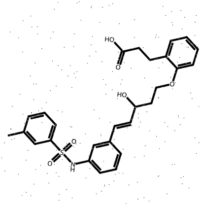 Cc1cccc(S(=O)(=O)Nc2cccc(/C=C/C(O)CCOc3ccccc3CCC(=O)O)c2)c1